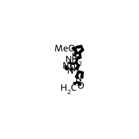 C=CC(=O)N1CC[C@@H](C2=CC(c3cc4cccc(OC)c4s3)C3C(N)=NC=NN23)C1